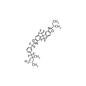 CCCC(C)(CC)C(F)(F)c1cccc(C(F)(F)c2nc3cc(C(c4ccc5oc(C(C)CC)nc5c4)(C(F)(F)F)C(F)(F)F)ccc3o2)c1